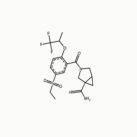 CCS(=O)(=O)c1ccc(OC(C)C(F)(F)F)c(C(=O)N2CC3CC3(C(=N)N)C2)c1